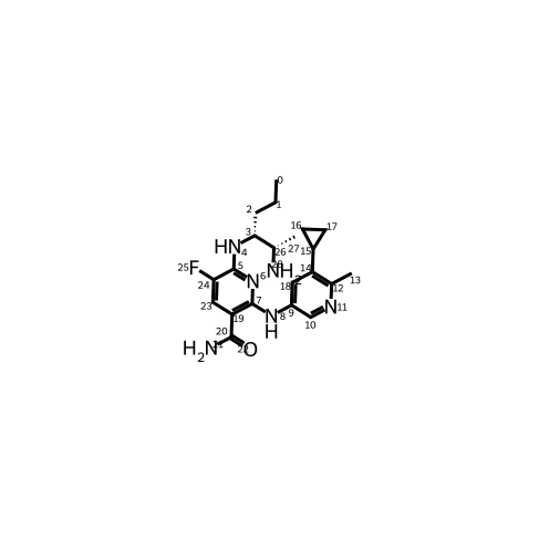 CCC[C@@H](Nc1nc(Nc2cnc(C)c(C3CC3)c2)c(C(N)=O)cc1F)[C@H](C)N